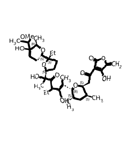 C=C1OC(=O)C(C(=O)C[C@@H]2O[C@@H](C(C)C(O)C(CC)C(=O)C(C)(O)[C@@H]3CC[C@@](CC)([C@@H]4CCC(O)(C(C)OC)[C@@H](C)O4)O3)[C@@H](C)C[C@@H]2C)=C1O